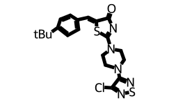 CC(C)(C)c1ccc(/C=C2\SC(N3CCN(c4nsnc4Cl)CC3)=NC2=O)cc1